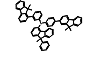 CC1(C)c2ccccc2-c2ccc(-c3ccc(N(c4cccc(-c5cccc6c5C(C)(C)c5ccccc5-6)c4)c4cccc5c4-c4ccccc4C5(C)c4ccccc4)cc3)cc21